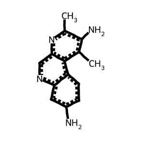 Cc1nc2cnc3cc(N)ccc3c2c(C)c1N